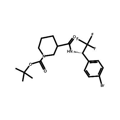 CC(C)(C)OC(=O)N1CCCC(C(=O)N[C@@H](c2ccc(Br)cc2)C(F)(F)F)C1